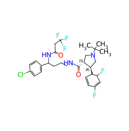 CC(C)(C)N1C[C@@H](C(=O)NCCCC(NC(=O)CC(F)(F)F)c2ccc(Cl)cc2)[C@H](C2C=CC(F)=CC2F)C1